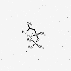 CC(C)C[Si](C)(C)O[Si](C)(C)C